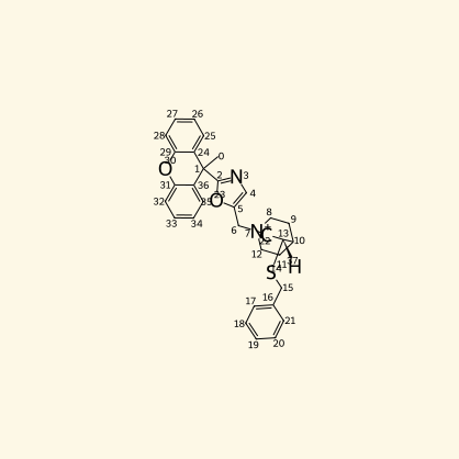 CC1(c2ncc(C[N+]34CCC(CC3)[C@H](SCc3ccccc3)C4)o2)c2ccccc2Oc2ccccc21